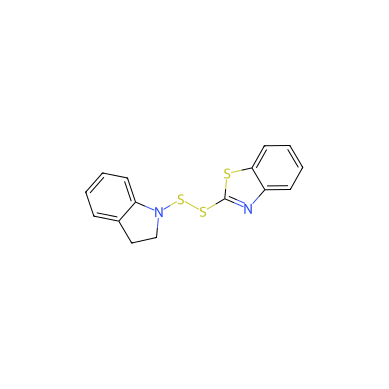 c1ccc2c(c1)CCN2SSc1nc2ccccc2s1